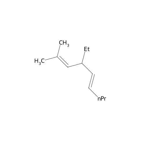 CCCC=CC(C=C(C)C)CC